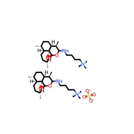 C[C@@H]1CC[C@H]2[C@@H](C)C(NCCCC[N+](C)(C)C)O[C@@H]3O[C@]4(C)CC[C@@H]1[C@]32OO4.C[C@@H]1CC[C@H]2[C@@H](C)C(NCCCC[N+](C)(C)C)O[C@@H]3O[C@]4(C)CC[C@@H]1[C@]32OO4.O=S(=O)([O-])[O-]